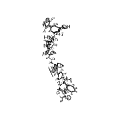 CCC(=O)N1c2ccccc2[C@H](Nc2ccc(NC(=O)CCCC(=O)NC34CCC(NCc5cc(O)cc(-c6c(C)noc6C)c5)(CC3)CC4)cc2)C[C@@H]1C